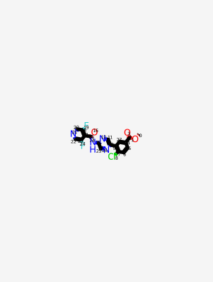 COC(=O)c1ccc(Cl)c(-c2cnc(NC(=O)c3c(F)cncc3F)cn2)c1